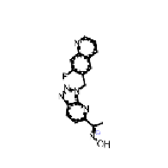 C/C(=N\O)c1ccc2nnn(Cc3cc4cccnc4cc3F)c2n1